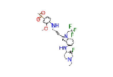 CCN1CCC(Nc2cccc3c2cc(C#CCNc2ccc(S(C)(=O)=O)cc2OC)n3CC(F)(F)F)[C@H](F)C1